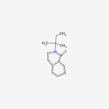 CCC(C)(C)n1ccc2ccccc2c1=S